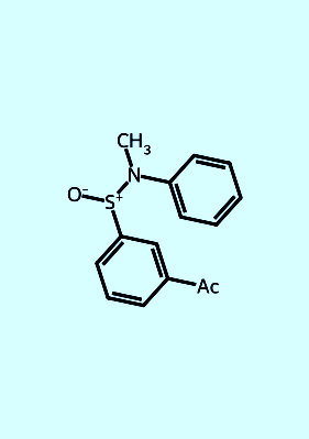 CC(=O)c1cccc([S+]([O-])N(C)c2ccccc2)c1